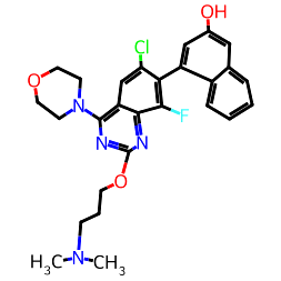 CN(C)CCCOc1nc(N2CCOCC2)c2cc(Cl)c(-c3cc(O)cc4ccccc34)c(F)c2n1